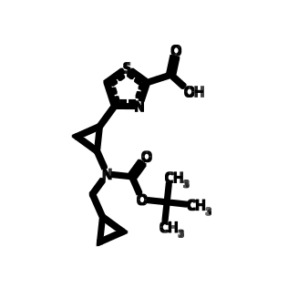 CC(C)(C)OC(=O)N(CC1CC1)C1CC1c1csc(C(=O)O)n1